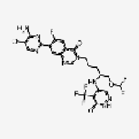 Nc1nc(-c2cc3ncn(CCCC(COC(F)F)Nc4cn[nH]c(=O)c4C(F)(F)F)c(=O)c3cc2F)ncc1Cl